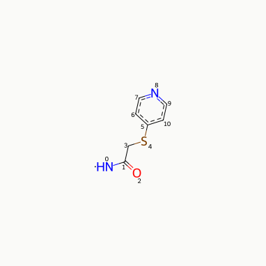 [NH]C(=O)CSc1ccncc1